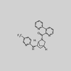 O=C(c1ncccc1-c1ccccn1)N1C[C@@H]2C[C@@H](Nc3ccc(C(F)(F)F)cn3)[C@@H]1C2